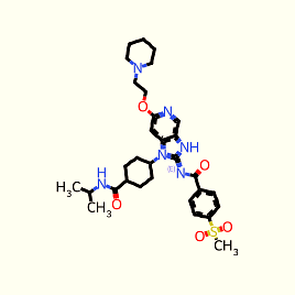 CC(C)NC(=O)C1CCC(n2/c(=N/C(=O)c3ccc(S(C)(=O)=O)cc3)[nH]c3cnc(OCCN4CCCCC4)cc32)CC1